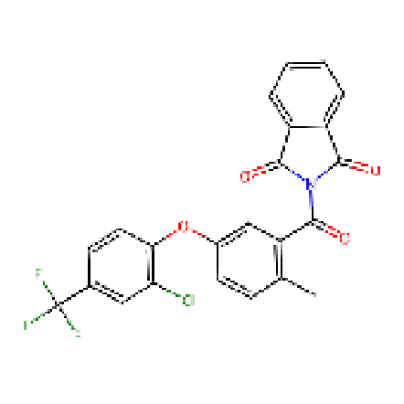 Cc1ccc(Oc2ccc(C(F)(F)F)cc2Cl)cc1C(=O)N1C(=O)c2ccccc2C1=O